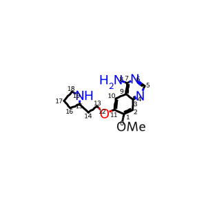 COc1cc2ncnc(N)c2cc1OCCC1CCCN1